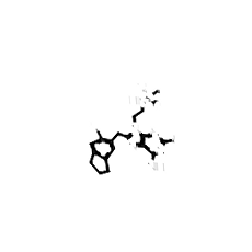 Cc1cc2c(cc1Cc1nc3c(N)nc(F)nc3n1CCNS(=O)(=O)C(C)C)CCC2